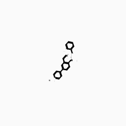 COc1ccc(-c2ccc3c(=O)n(Cc4ccccc4F)ccc3c2)cc1